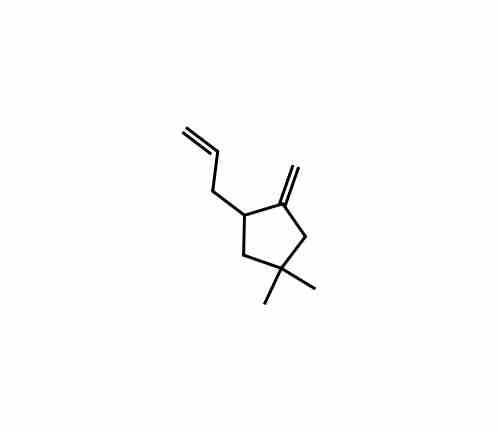 C=CCC1CC(C)(C)CC1=C